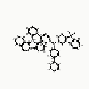 CC1(C)C2=C(C=C(N(c3ccc(-c4ccccc4)cc3)c3ccc(-c4ccccc4-n4c5ccccc5c5ccc6ccccc6c54)cc3)CC2)c2ccccc21